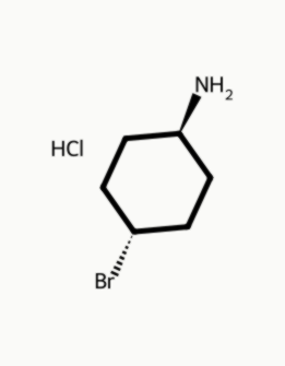 Cl.N[C@H]1CC[C@H](Br)CC1